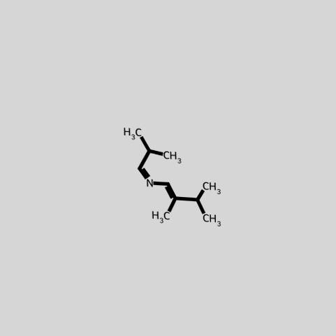 C/C(=C\N=C/C(C)C)C(C)C